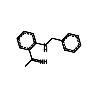 CC(=N)c1ccccc1NCc1ccccc1